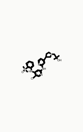 CC(C)(O)CN1CCC(c2ccnc(Nc3cc(Nc4ccccc4P(C)(C)=O)c(Cl)cn3)c2)C1